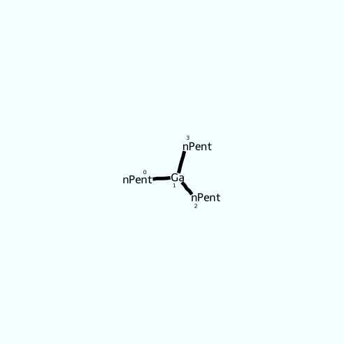 CCCC[CH2][Ga]([CH2]CCCC)[CH2]CCCC